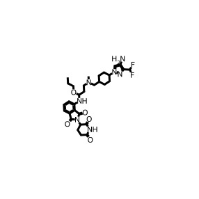 CCCOC(CCN(C)CC1CCC(n2cc(N)c(C(F)F)n2)CC1)Nc1cccc2c1C(=O)N(C1CCC(=O)NC1=O)C2=O